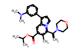 C=C(c1c(C)c(C(=O)OC(C)C)cc2c(-c3cccc(N(C)C)c3)ccn12)N1CCOCC1